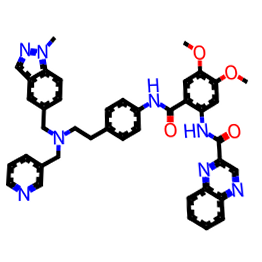 COc1cc(NC(=O)c2cnc3ccccc3n2)c(C(=O)Nc2ccc(CCN(Cc3cccnc3)Cc3ccc4c(cnn4C)c3)cc2)cc1OC